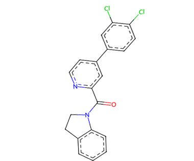 O=C(c1cc(-c2ccc(Cl)c(Cl)c2)ccn1)N1CCc2ccccc21